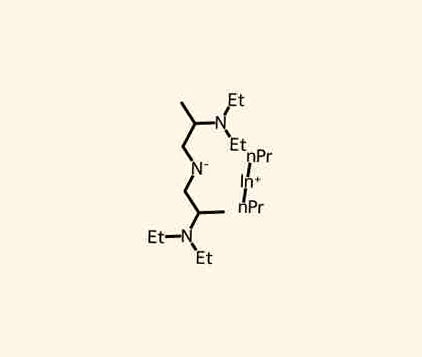 CCN(CC)C(C)C[N-]CC(C)N(CC)CC.CC[CH2][In+][CH2]CC